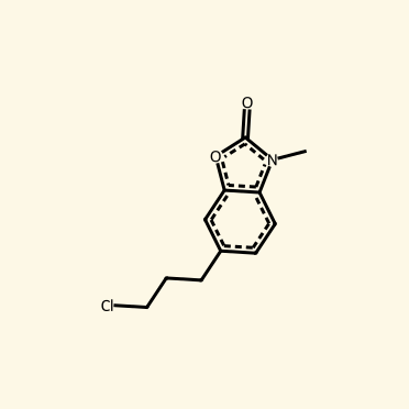 Cn1c(=O)oc2cc(CCCCl)ccc21